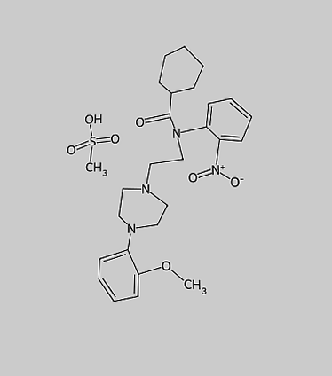 COc1ccccc1N1CCN(CCN(C(=O)C2CCCCC2)c2ccccc2[N+](=O)[O-])CC1.CS(=O)(=O)O